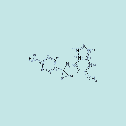 Cc1cc(NC2(c3ccc(C(F)(F)F)cc3)CC2)n2ncnc2n1